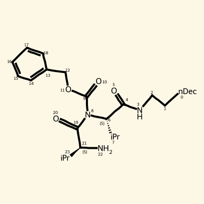 CCCCCCCCCCCCNC(=O)[C@H](C(C)C)N(C(=O)OCc1ccccc1)C(=O)[C@@H](N)C(C)C